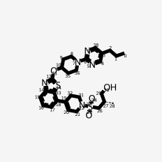 CCCc1cnc(N2CCC(Oc3nc4cccc(C5=CCN(S(=O)(=O)C[C@@H](C)CO)CC5)c4s3)CC2)nc1